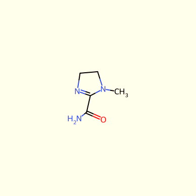 CN1CCN=C1C(N)=O